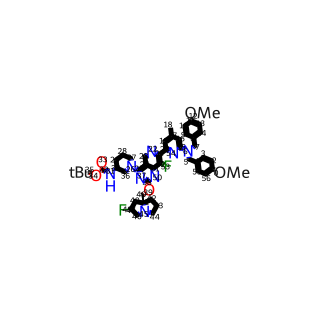 COc1ccc(CN(Cc2ccc(OC)cc2)c2cc(C)cc(-c3ncc4c(N5CCC[C@H](NC(=O)OC(C)(C)C)C5)nc(OC[C@@]56CCCN5C[C@H](F)C6)nc4c3F)n2)cc1